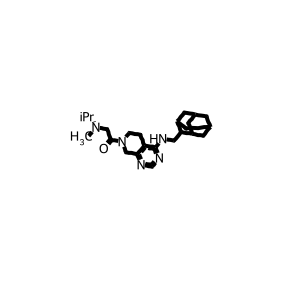 CC(C)N(C)CC(=O)N1CCc2c(ncnc2NCC2C3CC4CC(C3)CC2C4)C1